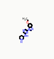 CCOc1ccc2ncn(-c3cncc(N[C@@H]4CCCNC4)n3)c2c1